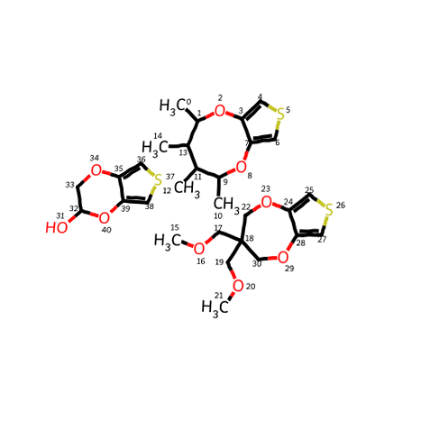 CC1Oc2cscc2OC(C)C(C)C1C.COCC1(COC)COc2cscc2OC1.OC1COc2cscc2O1